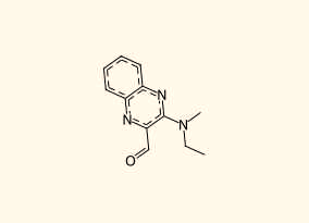 CCN(C)c1nc2ccccc2nc1C=O